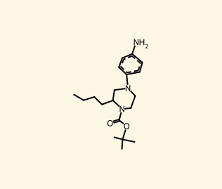 CCCCC1CN(c2ccc(N)cc2)CCN1C(=O)OC(C)(C)C